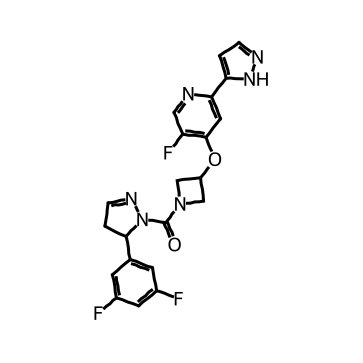 O=C(N1CC(Oc2cc(-c3ccn[nH]3)ncc2F)C1)N1N=CCC1c1cc(F)cc(F)c1